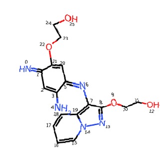 N=C1C=C(N)/C(=N\c2c(OCCO)nn3ccccc23)C=C1OCCO